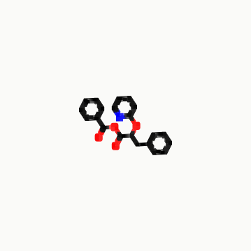 O=C(OC(=O)C(Cc1ccccc1)Oc1ccccn1)c1ccccc1